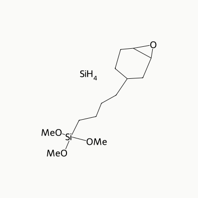 CO[Si](CCCCC1CCC2OC2C1)(OC)OC.[SiH4]